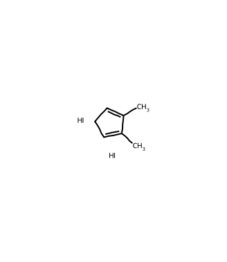 CC1=CCC=C1C.I.I